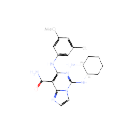 CCc1cc(Nc2nc(N[C@H]3CCCC[C@H]3N)n3ccnc3c2C(N)=O)cc(OC)c1